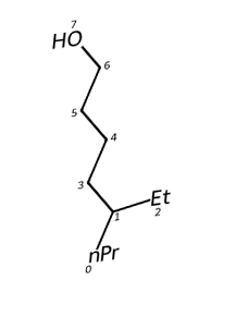 CCCC(CC)CCCCO